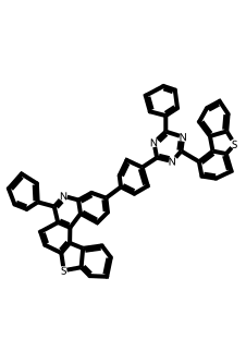 c1ccc(-c2nc(-c3ccc(-c4ccc5c(c4)nc(-c4ccccc4)c4ccc6sc7ccccc7c6c45)cc3)nc(-c3cccc4sc5ccccc5c34)n2)cc1